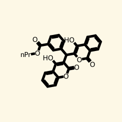 CCCOC(=O)c1cccc(C(c2oc(=O)c3ccccc3c2O)c2c(O)c3ccccc3oc2=O)c1